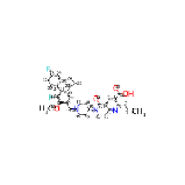 CCCc1nc2c(cc1C(=O)O)C(=O)N(C1CCN(Cc3cc(C4CC4)c(-c4ccc(F)cc4)c(F)c3OC)CC1)CC2